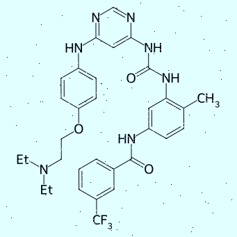 CCN(CC)CCOc1ccc(Nc2cc(NC(=O)Nc3cc(NC(=O)c4cccc(C(F)(F)F)c4)ccc3C)ncn2)cc1